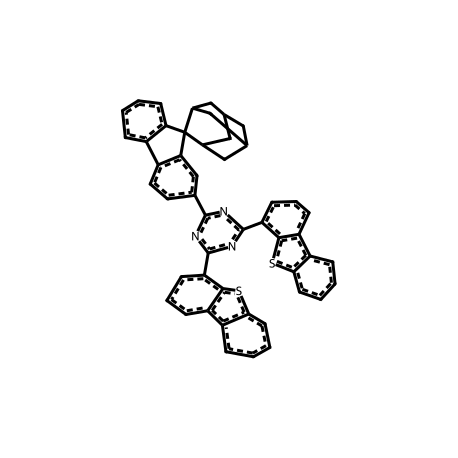 c1ccc2c(c1)-c1ccc(-c3nc(-c4cccc5c4sc4ccccc45)nc(-c4cccc5c4sc4ccccc45)n3)cc1C21C2CC3CC(C2)CC1C3